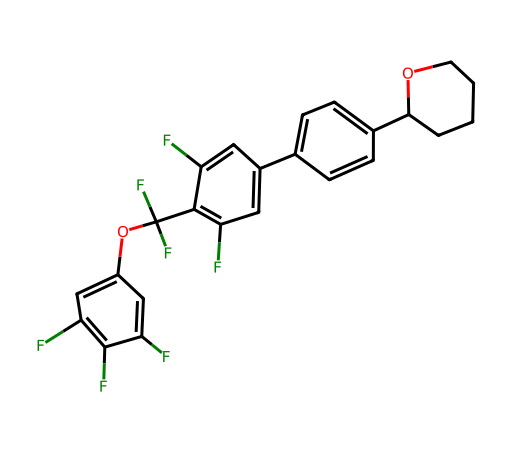 Fc1cc(OC(F)(F)c2c(F)cc(-c3ccc(C4CCCCO4)cc3)cc2F)cc(F)c1F